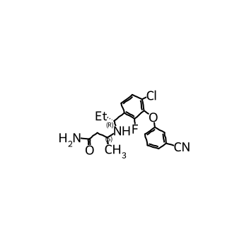 CC[C@@H](N[C@@H](C)CC(N)=O)c1ccc(Cl)c(Oc2cccc(C#N)c2)c1F